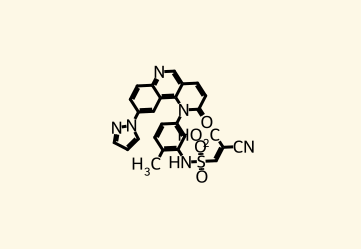 Cc1ccc(-n2c(=O)ccc3cnc4ccc(-n5cccn5)cc4c32)cc1NS(=O)(=O)C=C(C#N)C(=O)O